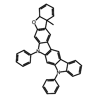 CC12C=CC=CC1Oc1cc3c(cc12)c1cc2c4ccccc4n(-c4ccccc4)c2cc1n3-c1ccccc1